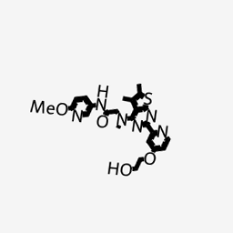 COc1ccc(NC(=O)CN(C)c2nc(-c3cc(OCCO)ccn3)nc3sc(C)c(C)c23)cn1